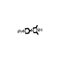 CC1CN(C2CCN(C(C)C)CC2)CC(C)N1